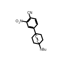 CCCCC12CCC(c3ccc(C#N)c([N+](=O)[O-])c3)(CC1)CC2